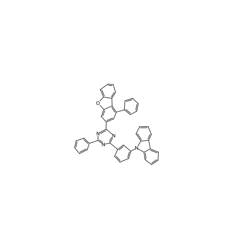 c1ccc(-c2nc(-c3cccc(-n4c5ccccc5c5ccccc54)c3)nc(-c3cc(-c4ccccc4)c4c(c3)oc3ccccc34)n2)cc1